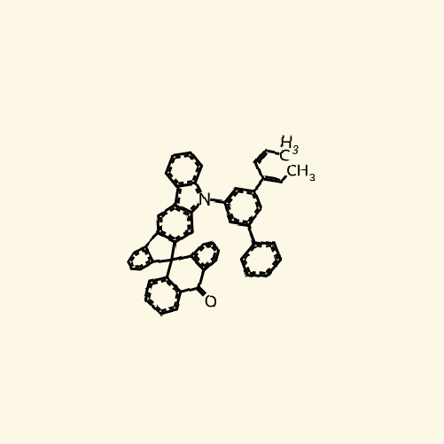 C/C=C\C(=C/C)c1cc(-c2ccccc2)cc(-n2c3ccccc3c3cc4c(cc32)C2(c3ccccc3C(=O)c3ccccc32)c2ccccc2-4)c1